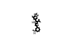 CNC1CCCCC(c2cc3[nH]c(-c4cc(C)c5ncnn5c4)c(C(C)C)c3s2)C1